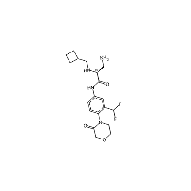 NC[C@H](NCC1CCC1)C(=O)Nc1ccc(N2CCOCC2=O)c(C(F)F)c1